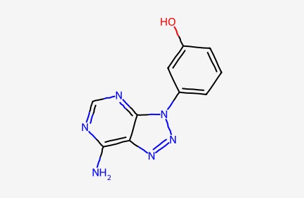 Nc1ncnc2c1nnn2-c1cccc(O)c1